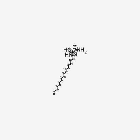 CCCCCCCCCCCCCCCCCc1nc(C(N)=O)c(O)[nH]1